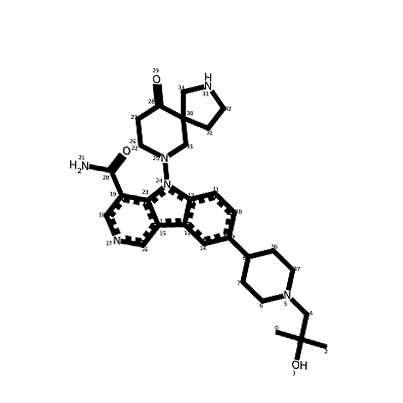 CC(C)(O)CN1CCC(c2ccc3c(c2)c2cncc(C(N)=O)c2n3N2CCC(=O)C3(CCNC3)C2)CC1